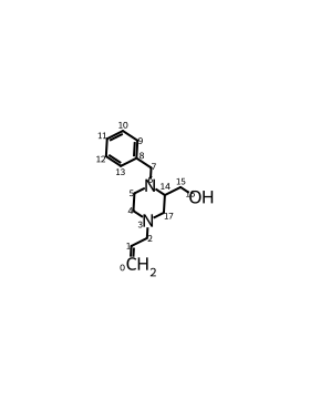 C=CCN1CCN(Cc2ccccc2)C(CO)C1